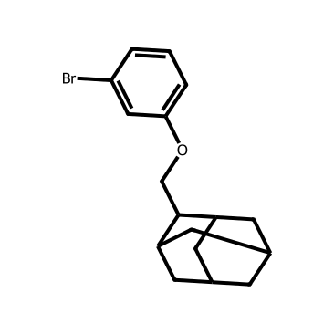 Brc1cccc(OCC2C3CC4CC(C3)CC2C4)c1